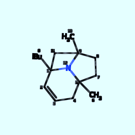 CCC(C)C12C=CCC3(C)CCC(C)(C1)N32